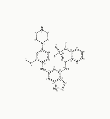 COc1cc(N2CCNCC2)ccc1Nc1nc(NCc2ccccc2N(C)S(C)(=O)=O)c2cc[nH]c2n1